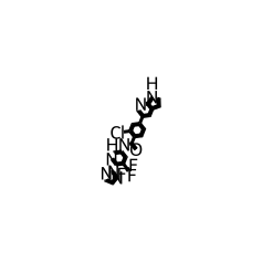 O=C(Nc1cnc(-n2nccn2)c(C(F)(F)F)c1)c1ccc(-c2cnc3[nH]ccc3c2)cc1Cl